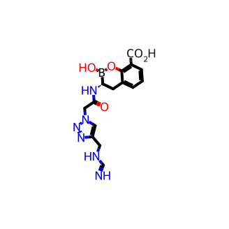 N=CNCc1cn(CC(=O)N[C@H]2Cc3cccc(C(=O)O)c3OB2O)nn1